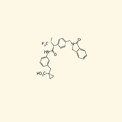 C[C@H]([C@H](C(=O)Nc1cccc(CC2(C(=O)O)CC2)c1)c1ccc(CN2Cc3ccccc3C2=O)cc1)C(F)(F)F